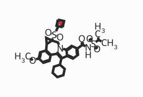 COc1ccc2c(c1)C1CC1(S(=O)(=O)N1C=C3CC1C3)Cn1c-2c(C2CCCCC2)c2ccc(C(=O)NS(=O)(=O)C(C)C)cc21